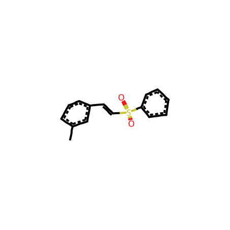 Cc1cccc(C=CS(=O)(=O)c2ccccc2)c1